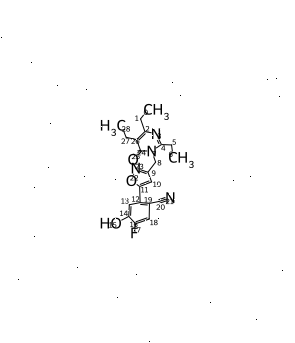 CCc1nc(CC)n(Cc2cc(-c3cc(O)c(F)cc3C#N)on2)c(=O)c1CC